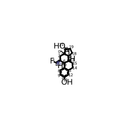 C[C@]12C/C(=C\F)[C@@H]3c4ccc(O)cc4CC[C@H]3[C@@H]1CC[C@@H]2O